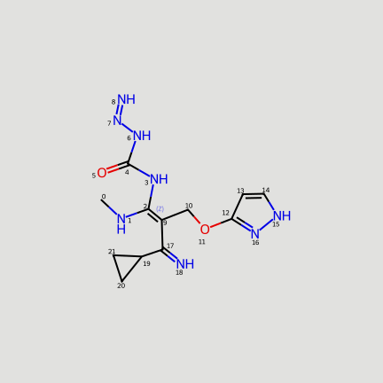 CN/C(NC(=O)NN=N)=C(/COc1cc[nH]n1)C(=N)C1CC1